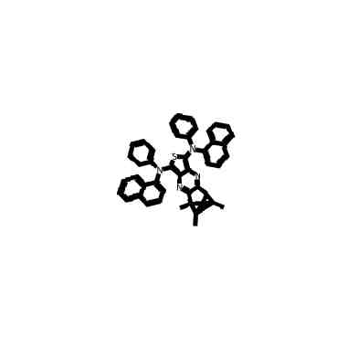 CC12c3nc4c(N(C5=CC=CCC5)c5cccc6ccccc56)sc(N(c5ccccc5)c5cccc6ccccc56)c4nc3C3C4(C)C1(C)C324